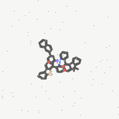 CC1(C)c2ccccc2-c2c(-c3ccccc3N(c3cccc(-c4ccc5ccccc5c4)c3)c3ccccc3-c3cccc4c3sc3ccccc34)cccc21